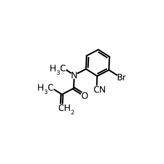 C=C(C)C(=O)N(C)c1cccc(Br)c1C#N